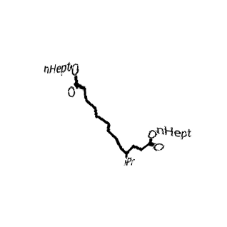 CCCCCCCOC(=O)CCCCCCCCC(CCC(=O)OCCCCCCC)C(C)C